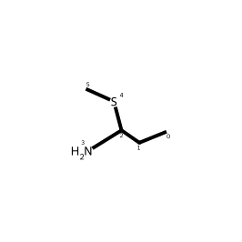 CCC(N)SC